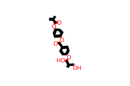 C=C(C)C(=O)Oc1ccc(OC(=O)c2ccc(OC(O)C(=C)CO)cc2)cc1